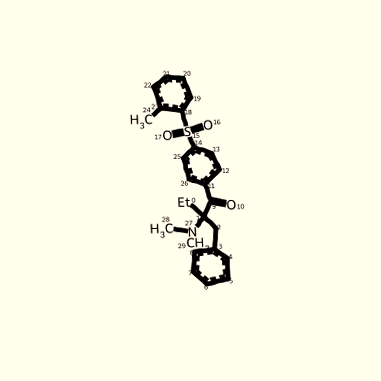 CCC(Cc1ccccc1)(C(=O)c1ccc(S(=O)(=O)c2ccccc2C)cc1)N(C)C